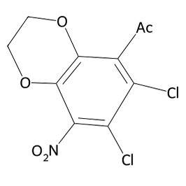 CC(=O)c1c(Cl)c(Cl)c([N+](=O)[O-])c2c1OCCO2